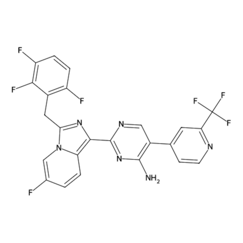 Nc1nc(-c2nc(Cc3c(F)ccc(F)c3F)n3cc(F)ccc23)ncc1-c1ccnc(C(F)(F)F)c1